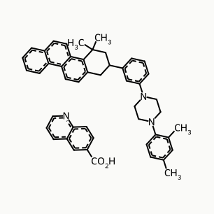 Cc1ccc(N2CCN(c3cccc(C4Cc5ccc6c(ccc7ccccc76)c5C(C)(C)C4)c3)CC2)c(C)c1.O=C(O)c1ccc2ncccc2c1